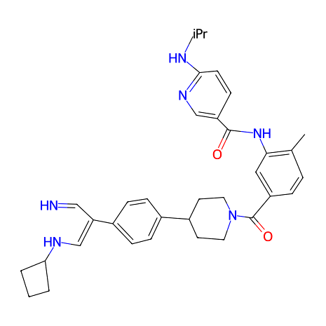 Cc1ccc(C(=O)N2CCC(c3ccc(/C(C=N)=C/NC4CCC4)cc3)CC2)cc1NC(=O)c1ccc(NC(C)C)nc1